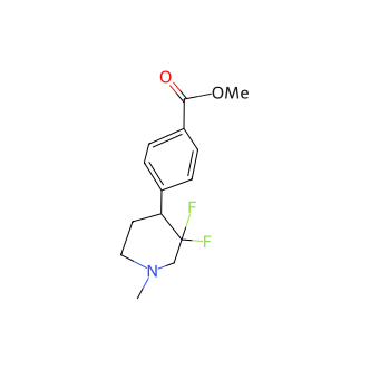 COC(=O)c1ccc(C2CCN(C)CC2(F)F)cc1